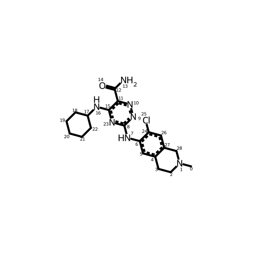 CN1CCc2cc(Nc3nnc(C(N)=O)c(NC4CCCCC4)n3)c(Cl)cc2C1